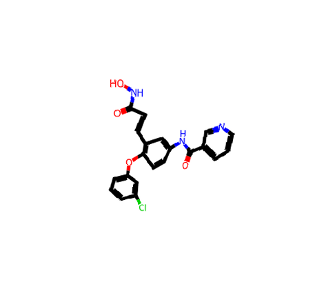 O=C(C=Cc1cc(NC(=O)c2cccnc2)ccc1Oc1cccc(Cl)c1)NO